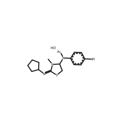 CC(=O)N(c1ccc(C(C)C)cc1)C1CSC(=NC2CCCC2)N1C.Cl